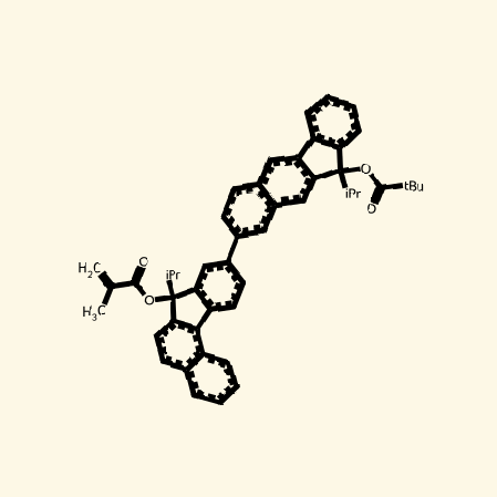 C=C(C)C(=O)OC1(C(C)C)c2cc(-c3ccc4cc5c(cc4c3)C(OC(=O)C(C)(C)C)(C(C)C)c3ccccc3-5)ccc2-c2c1ccc1ccccc21